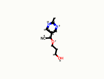 Cc1ncc(C(C#N)OCCCO)cn1